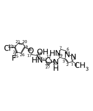 Cc1cc2n(n1)CCNC2NC12CC(NC(O)COc3ccc(Cl)c(F)c3)(C1)C2